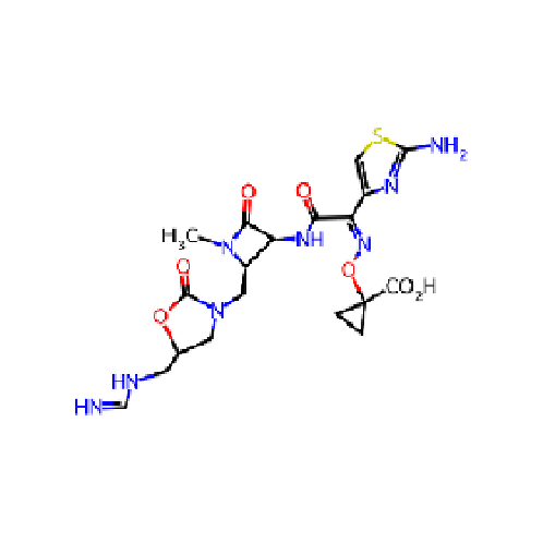 CN1C(=O)[C@@H](NC(=O)/C(=N\OC2(C(=O)O)CC2)c2csc(N)n2)[C@H]1CN1CC(CNC=N)OC1=O